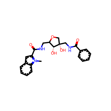 Cn1c(C(=O)NCC2OC[C@@](O)(CNC(=O)c3ccccc3)[C@@H]2O)cc2ccccc21